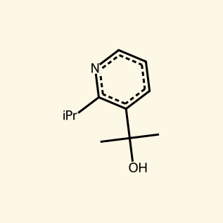 CC(C)c1ncccc1C(C)(C)O